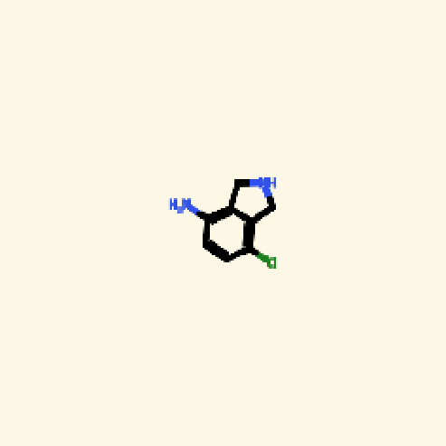 Nc1ccc(Cl)c2c1CNC2